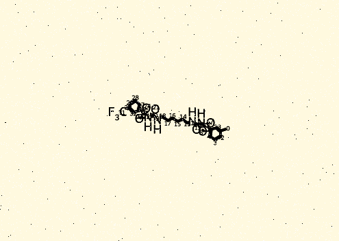 Cc1cccc(S(=O)(=O)NC(=O)NCCCCCCNC(=O)NS(=O)(=O)c2cccc(C(F)(F)F)c2)c1